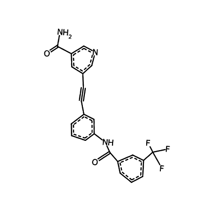 NC(=O)c1cncc(C#Cc2cccc(NC(=O)c3cccc(C(F)(F)F)c3)c2)c1